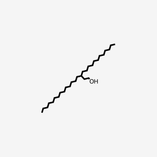 CCCCCCCCCCCCCCC(CCO)CCCCCCCCCCCC